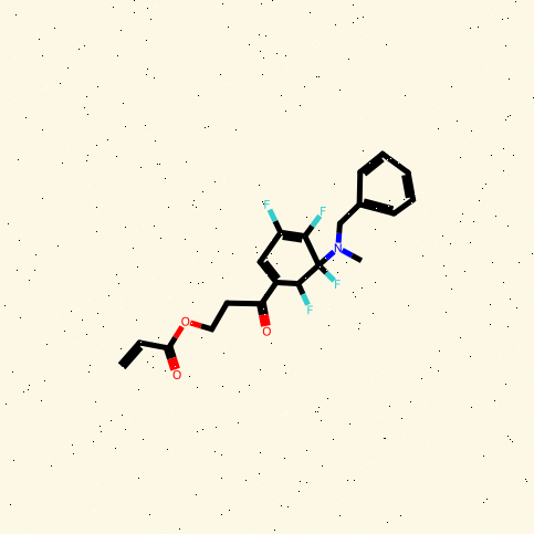 C=CC(=O)OCCC(=O)C1=CC(F)=C(F)C(F)(N(C)Cc2ccccc2)C1F